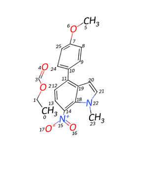 CCOC=O.COc1ccc(-c2ccc([N+](=O)[O-])c3c2ccn3C)cc1